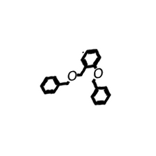 [c]1ccc(OCc2ccccc2)c(COCc2ccccc2)c1